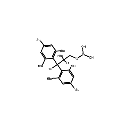 CCCCC(CC)(COP(O)O)C(O)(c1c(C(C)(C)C)cc(C(C)(C)C)cc1C(C)(C)C)c1c(C(C)(C)C)cc(C(C)(C)C)cc1C(C)(C)C